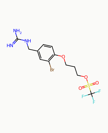 N=C(N)NCc1ccc(OCCCOS(=O)(=O)C(F)(F)F)c(Br)c1